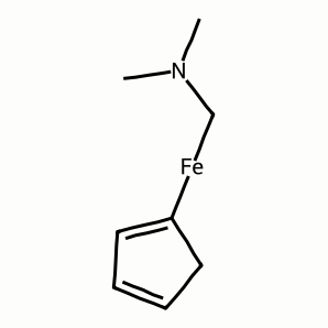 CN(C)[CH2][Fe][C]1=CC=CC1